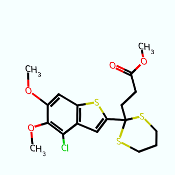 COC(=O)CCC1(c2cc3c(Cl)c(OC)c(OC)cc3s2)SCCCS1